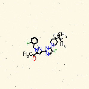 CC(=O)c1cc(-c2ncc(F)c(N3CCC(C)(C(C)C)CC3)n2)nn1Cc1ccccc1F